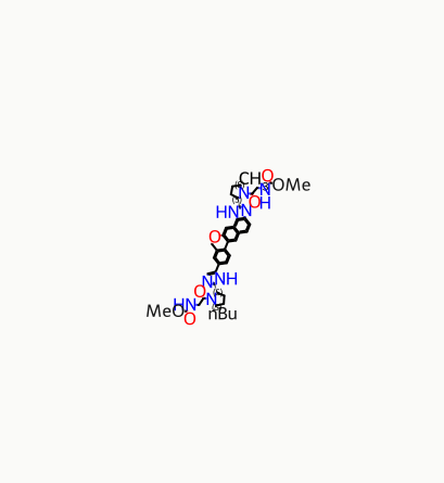 CCCC[C@H]1CC[C@@H](c2ncc(-c3ccc4c(c3)COc3cc5c(ccc6nc([C@@H]7CC[C@H](C)N7C(=O)CNC(=O)OC)[nH]c65)cc3-4)[nH]2)N1C(=O)CNC(=O)OC